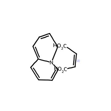 C1=CCN2C=CC=CC2=C1.O=C(O)/C=C\C(=O)O